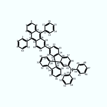 c1ccc(-c2c3ccccc3c(-c3ccccc3)c3cc(-c4ccc5c(c4)C4(c6ccccc6-c6ccccc64)c4cc(N(c6ccccc6)c6ccccc6)ccc4-5)ccc23)cc1